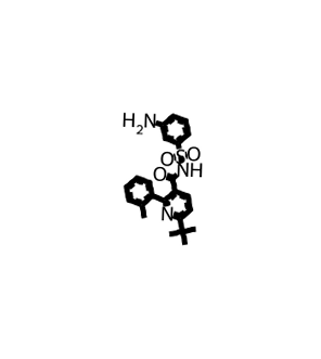 Cc1ccccc1-c1nc(C(C)(C)C)ccc1C(=O)NS(=O)(=O)c1cccc(N)c1